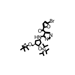 CC(C)[Si](O[C@H]1C[C@H](Nc2ncncc2C(=O)c2ccc(Br)o2)C[C@@H]1CO[Si](C)(C)C(C)(C)C)(C(C)C)C(C)C